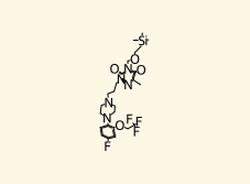 Cc1nn(CCCN2CCN(c3ccc(F)cc3OCC(F)(F)F)CC2)c(=O)n(COCC[Si](C)(C)C)c1=O